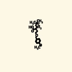 COc1ccc(COCC[C@H](CCC(C)(C)C)C(=O)O)cc1